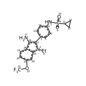 CCn1c(-c2ccc(NS(=O)(=O)C3CC3)cc2)c(N)c2ccc(OC(F)(F)F)cc21